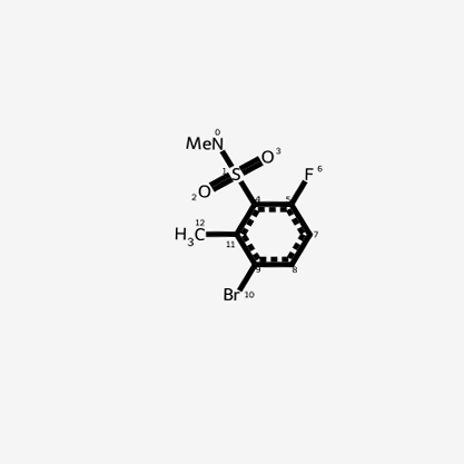 CNS(=O)(=O)c1c(F)ccc(Br)c1C